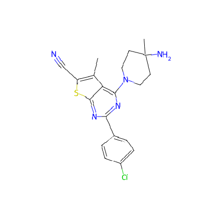 Cc1c(C#N)sc2nc(-c3ccc(Cl)cc3)nc(N3CCC(C)(N)CC3)c12